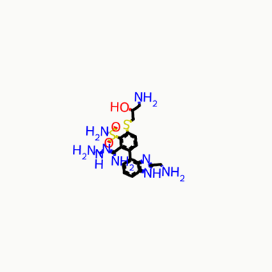 NCc1nc2c(-c3ccc(SCC(O)CN)c(S(N)(=O)=O)c3/C(N)=N/NN)cccc2[nH]1